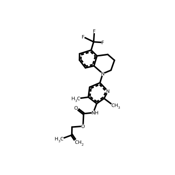 C=C(C)COC(=O)Nc1c(C)cc(N2CCCc3c2cccc3C(F)(F)F)nc1C